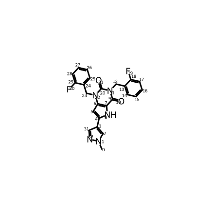 Cn1cc(-c2cc3c([nH]2)c(=O)n(Cc2ccccc2F)c(=O)n3Cc2ccccc2F)cn1